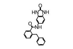 O=C(Nc1ccc2[nH]c(=O)[nH]c2c1)c1ccccc1Cc1ccccc1